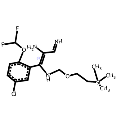 C[Si](C)(C)CCOCN/C(=C(/N)C=N)c1cc(Cl)ccc1OC(F)F